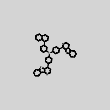 c1cc(-c2cccc3ccccc23)cc(N(c2ccc(-c3nccc4c3oc3ccccc34)cc2)c2ccc(-c3ccnc4c3oc3ccccc34)cc2)c1